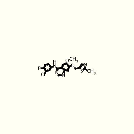 COc1cc2c(Nc3ccc(F)c(Cl)c3)ncnc2cc1OCc1cnc(C)s1